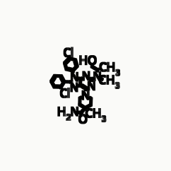 C[C@H](CO)N(C)c1nc(N2CCC(C)(C(N)=O)CC2)c2nc(-c3ccccc3Cl)n(-c3ccc(Cl)cc3)c2n1